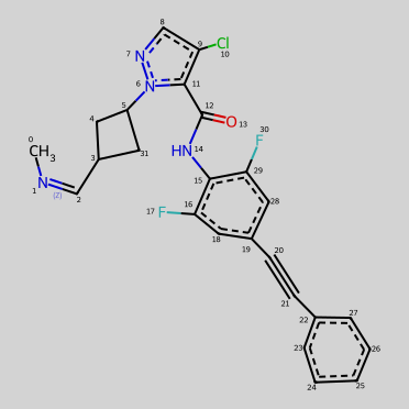 C/N=C\C1CC(n2ncc(Cl)c2C(=O)Nc2c(F)cc(C#Cc3ccccc3)cc2F)C1